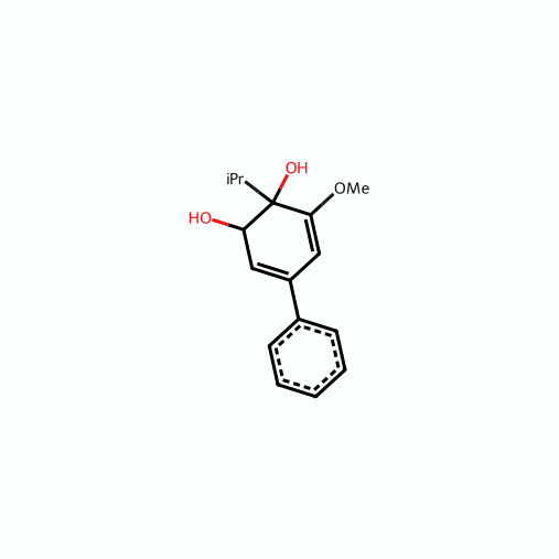 COC1=CC(c2ccccc2)=CC(O)C1(O)C(C)C